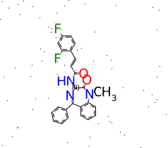 CN1C(=O)[C@H](NC(=O)C=Cc2ccc(F)cc2F)N=C(c2ccccc2)c2ccccc21